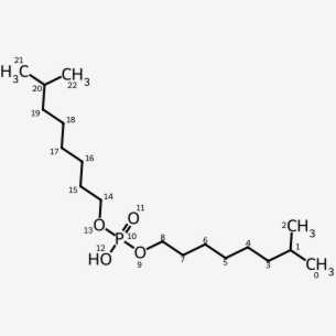 CC(C)CCCCCCOP(=O)(O)OCCCCCCC(C)C